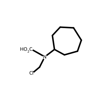 O=C(O)N(CCl)C1CCCCCC1